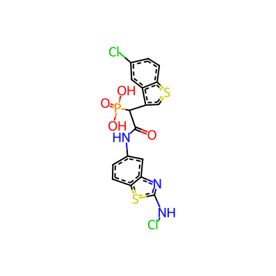 O=C(Nc1ccc2sc(NCl)nc2c1)C(c1csc2ccc(Cl)cc12)P(=O)(O)O